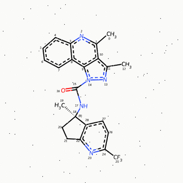 Cc1nc2ccccc2c2c1c(C)nn2C(=O)N[C@]1(C)CCc2nc(C(F)(F)F)ccc21